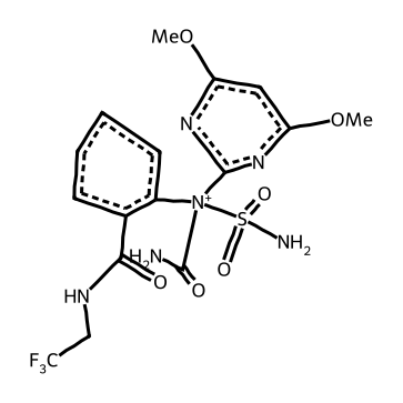 COc1cc(OC)nc([N+](C(N)=O)(c2ccccc2C(=O)NCC(F)(F)F)S(N)(=O)=O)n1